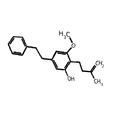 C=C(C)CCc1c(O)cc(CCc2ccccc2)cc1OC